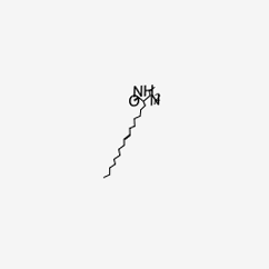 CCCCCCCC/C=C/CCCCCCC(C(N)=O)C(CC)N(C)C